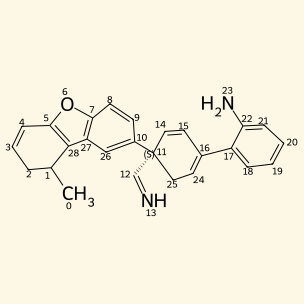 CC1CC=Cc2oc3ccc([C@@]4(C=N)C=CC(c5ccccc5N)=CC4)cc3c21